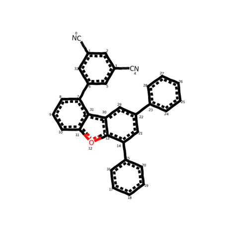 N#Cc1cc(C#N)cc(-c2cccc3oc4c(-c5ccccc5)cc(-c5ccccc5)cc4c23)c1